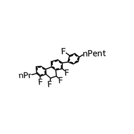 CCCCCc1ccc(-c2ccc3c(c2F)C(F)C(F)c2c-3ccc(CCC)c2F)c(F)c1